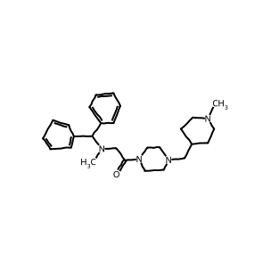 CN1CCC(CN2CCN(C(=O)CN(C)C(c3ccccc3)c3ccccc3)CC2)CC1